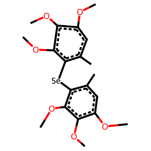 COc1cc(C)c([Se]c2c(C)cc(OC)c(OC)c2OC)c(OC)c1OC